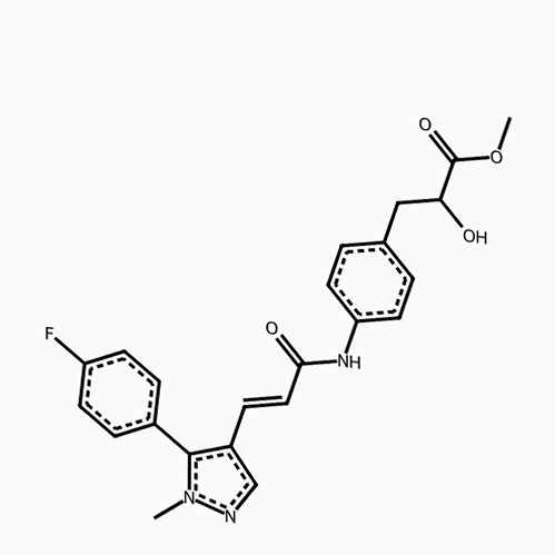 COC(=O)C(O)Cc1ccc(NC(=O)C=Cc2cnn(C)c2-c2ccc(F)cc2)cc1